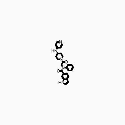 O=C(CN(C(=O)c1ccc2cc[nH]c2c1)c1ccccc1)N1CCC(Nc2ccncc2)CC1